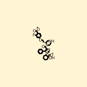 COC[C@]1(O)CCCC[C@H]1n1cnc(C(=O)N2CCNC[C@H]2CCOc2ccc(C(=O)OC)c(F)c2)c1-c1ccccc1